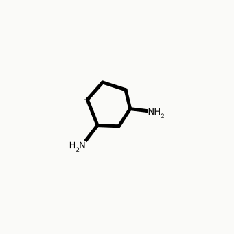 NC1[CH]CCC(N)C1